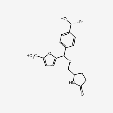 CC(C)[C@@H](O)c1ccc(C(OCC2CCC(=O)N2)c2ccc(C(=O)O)o2)cc1